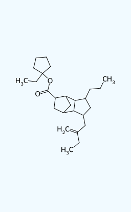 C=C(CC)CC1CC(CCC)C2C3CC(CC3C(=O)OC3(CC)CCCC3)C12